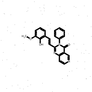 COc1cccc(C=Cc2nc3ccncc3c(=O)n2-c2ccccc2)c1O